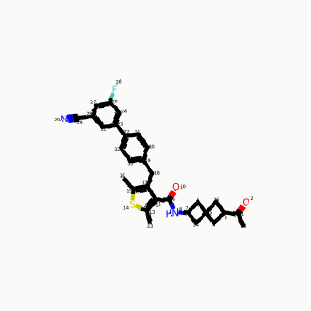 CC(=O)C1CC2(CC(NC(=O)c3c(C)sc(C)c3Cc3ccc(-c4cc(F)cc(C#N)c4)cc3)C2)C1